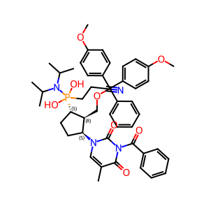 COc1ccc(C(OC[C@H]2[C@@H](n3cc(C)c(=O)n(C(=O)c4ccccc4)c3=O)CC[C@@H]2P(O)(O)(CCC#N)N(C(C)C)C(C)C)(c2ccccc2)c2ccc(OC)cc2)cc1